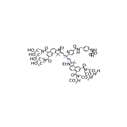 CCN1/C(=C/C=C(/C=C/C2=[N+](CC)c3ccc4c(C(=O)N(CC(=O)O)CC(=O)O)cc(C(=O)N(CC(=O)O)CC(=O)O)cc4c3C2(C)C)c2ccc(C(=O)NCc3ccc(N[SH](=O)=O)cc3)cn2)C(C)(C)c2c1ccc1c(C(=O)N(CC(=O)O)CC(=O)O)cc(C(=O)N(CC(=O)O)CC(=O)O)cc21